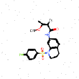 CCC(C(=O)Nc1ccc2c(c1)N(S(=O)(=O)c1ccc(F)cc1)CCC2)C(C)ON=O